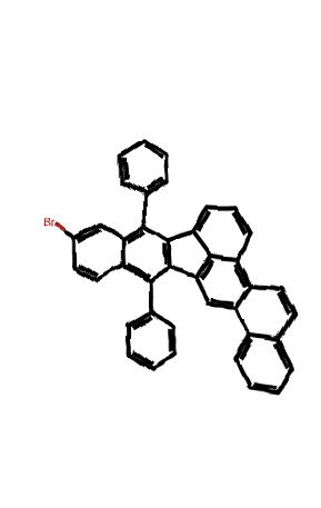 Brc1ccc2c(-c3ccccc3)c3c(c(-c4ccccc4)c2c1)-c1cccc2c1c-3cc1c3ccccc3ccc21